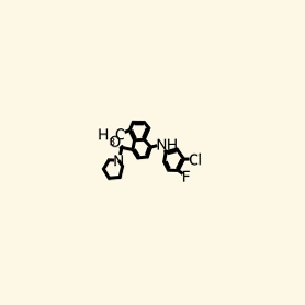 Cc1cccc2c(Nc3ccc(F)c(Cl)c3)ccc(C(=O)N3CCCCC3)c12